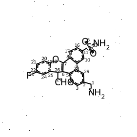 NCc1ccc(C2=C(c3ccc(S(N)(=O)=O)cc3)Oc3ccc(F)cc3C2C=O)cc1